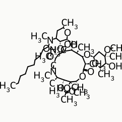 CCCCCCCCCCN(C)C1C[C@@H](C)O[C@@H](O[C@@H]2[C@@H](C)[C@H](O[C@H]3C[C@@](C)(OC)[C@@H](O)[C@H](C)O3)[C@@H](C)C(=O)O[C@H](CC)[C@@](C)(O)[C@H](OC(C)=O)[C@@H](C)N(C)C[C@H](C)C[C@@]2(C)O)[C@@H]1O[N+](=O)[O-]